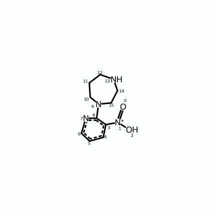 O=[N+](O)c1cccnc1N1CCCNCC1